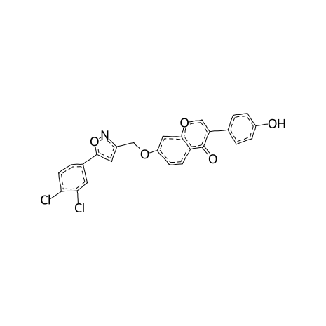 O=c1c(-c2ccc(O)cc2)coc2cc(OCc3cc(-c4ccc(Cl)c(Cl)c4)on3)ccc12